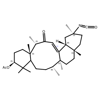 CC(=O)O[C@H]1CC[C@@]2(C)C(CC[C@@H](C)[C@]3(C)CC[C@@]4(C)CC[C@](C)(N=C=O)C[C@H]4/C3=C/C(=O)[C@H]2C)C1(C)C